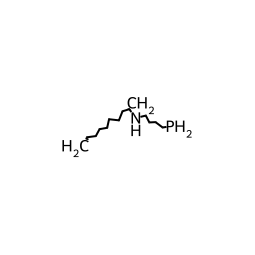 C=CCCCCCCC(=C)NCCCCP